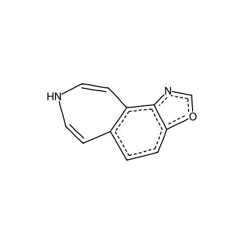 C1=Cc2ccc3ocnc3c2C=CN1